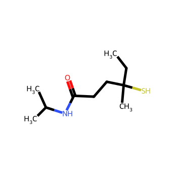 CCC(C)(S)CCC(=O)NC(C)C